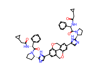 O=C(CC1CC1)N[C@@H](C(=O)N1CCC[C@H]1c1ncc(-c2cc3c4c(c2)OCc2cc(-c5cnc([C@@H]6CCCN6C(=O)[C@H](NC(=O)CC6CC6)c6ccccc6)[nH]5)cc(c2-4)OC3)[nH]1)c1ccccc1